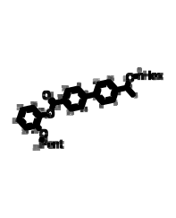 CCCCCCOC(C)c1ccc(-c2ccc(C(=O)Oc3ccccc3OC(C)CCC)cc2)cc1